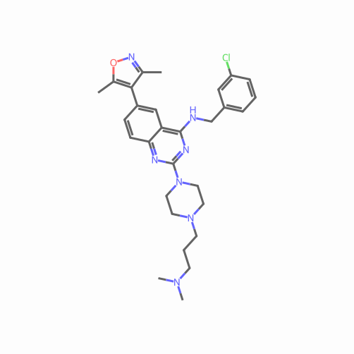 Cc1noc(C)c1-c1ccc2nc(N3CCN(CCCN(C)C)CC3)nc(NCc3cccc(Cl)c3)c2c1